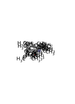 COCOc1cc2c(ncn2C)c(C(CC[C@@H]2OC(C)(C)O[C@@H]2C(/C=C\[C@@H](C)C(C)O[Si](c2ccccc2)(c2ccccc2)C(C)(C)C)O[Si](C)(C)C(C)(C)C)Sc2ccccc2)c1C(=O)OCC[Si](C)(C)C